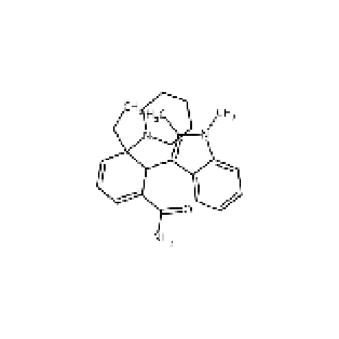 CCC1(N2CCCCC2)C=CC=C(C(N)=O)C1c1c(C)n(C)c2ccccc12